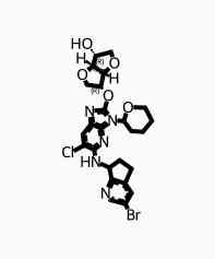 O[C@@H]1CO[C@H]2[C@@H]1OC[C@H]2Oc1nc2cc(Cl)c(NC3CCc4cc(Br)cnc43)nc2n1C1CCCCO1